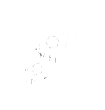 OB1c2cc(C(F)(F)F)ccc2C=NN1c1cc(Cl)c(Cl)c(Cl)c1